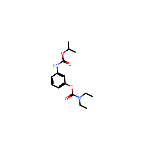 CCN(CC)C(=O)Oc1cccc(NC(=O)OC(C)C)c1